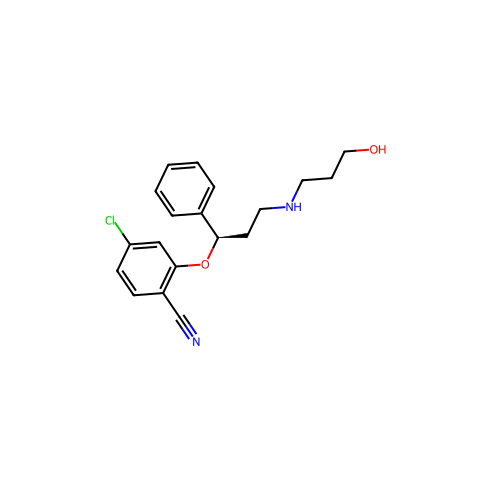 N#Cc1ccc(Cl)cc1O[C@H](CCNCCCO)c1ccccc1